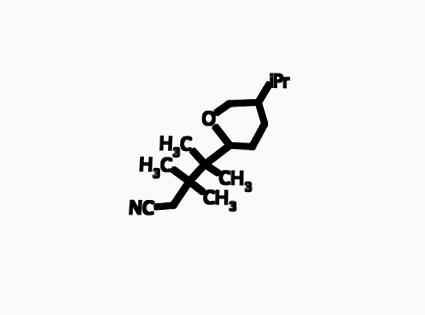 CC(C)C1CCC(C(C)(C)C(C)(C)CC#N)OC1